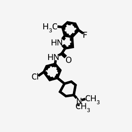 Cc1ccc(F)c2cc(C(=O)Nc3cc(Cl)cc(C4CCC(N(C)C)CC4)c3)[nH]c12